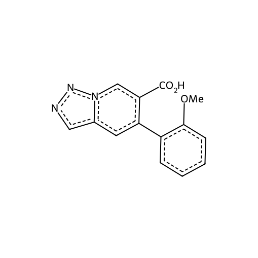 COc1ccccc1-c1cc2cnnn2cc1C(=O)O